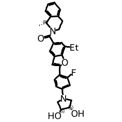 CCc1cc(C(=O)N2CCc3ccccc3[C@H]2C)cc2cc(-c3ccc(N4C[C@H](O)[C@@H](O)C4)cc3F)oc12